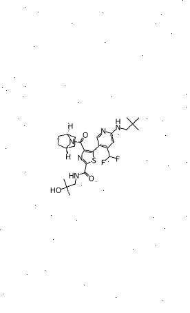 CC(C)(C)CNc1cc(C(F)F)c(-c2sc(C(=O)NCC(C)(C)O)nc2C(=O)N2[C@H]3CC[C@H]2CC3)cn1